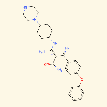 N=C(/C(C(N)=O)=C(/N)N[C@H]1CC[C@@H](N2CCNCC2)CC1)c1ccc(Oc2ccccc2)cc1